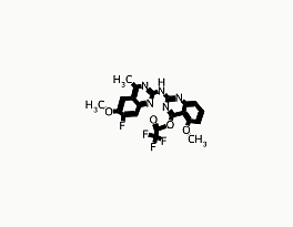 COc1cc2c(C)nc(Nc3nc(OC(=O)C(F)(F)F)c4c(OC)cccc4n3)nc2cc1F